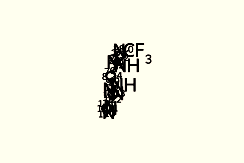 FC(F)(F)c1cc2[nH]c(-c3cccc(Nc4ncc(-c5cccnn5)cn4)c3)nc2cn1